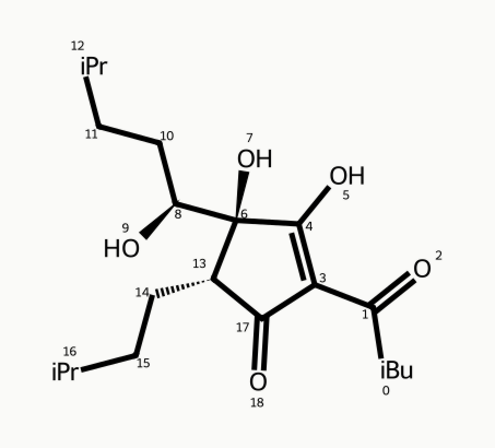 CCC(C)C(=O)C1=C(O)[C@@](O)([C@@H](O)CCC(C)C)[C@@H](CCC(C)C)C1=O